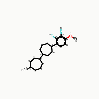 CCCC1CCCC(C2CCCC(c3ccc(OCC)c(F)c3F)CC2)CC1